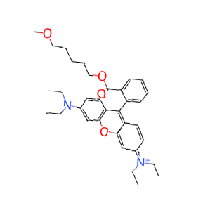 CCN(CC)c1ccc2c(-c3ccccc3C(=O)OCCCCCOC)c3ccc(=[N+](CC)CC)cc-3oc2c1